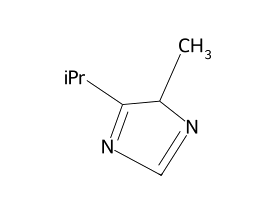 CC(C)C1=NC=NC1C